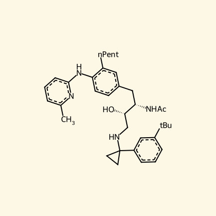 CCCCCc1cc(C[C@H](NC(C)=O)[C@@H](O)CNC2(c3cccc(C(C)(C)C)c3)CC2)ccc1Nc1cccc(C)n1